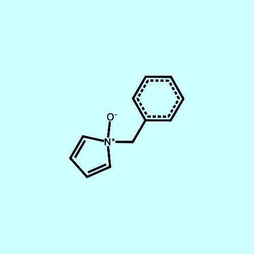 [O-][N+]1(Cc2ccccc2)C=CC=C1